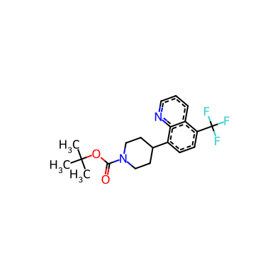 CC(C)(C)OC(=O)N1CCC(c2ccc(C(F)(F)F)c3cccnc23)CC1